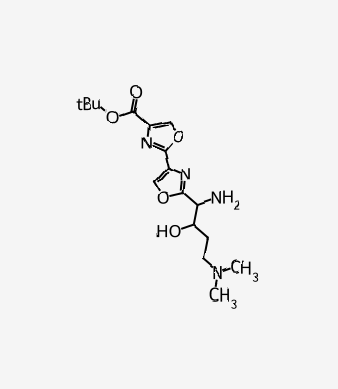 CN(C)CCC(O)C(N)c1nc(-c2nc(C(=O)OC(C)(C)C)co2)co1